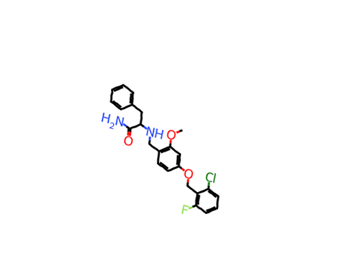 COc1cc(OCc2c(F)cccc2Cl)ccc1CNC(Cc1ccccc1)C(N)=O